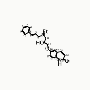 CCN(CC=Cc1ccccc1)CC(O)COc1ccc2[nH]c(=O)ccc2c1